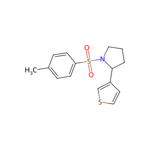 Cc1ccc(S(=O)(=O)N2CCCC2c2ccsc2)cc1